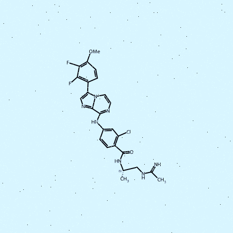 COc1ccc(-c2cnc3c(Nc4ccc(C(=O)N[C@@H](C)CNC(C)=N)c(Cl)c4)nccn23)c(F)c1F